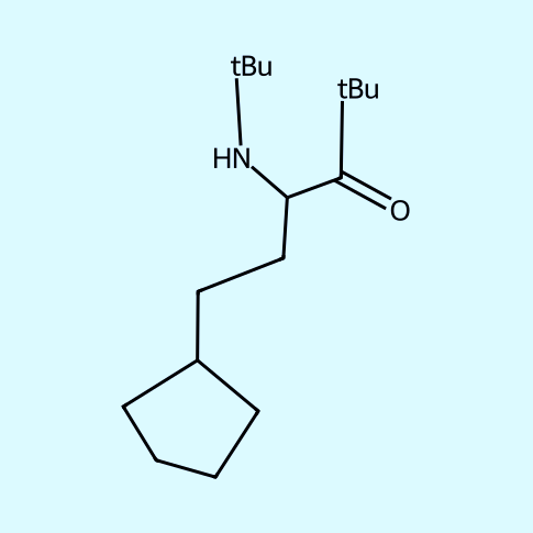 CC(C)(C)NC(CCC1CCCC1)C(=O)C(C)(C)C